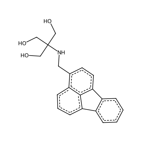 OCC(CO)(CO)NCc1ccc2c3c(cccc13)-c1ccccc1-2